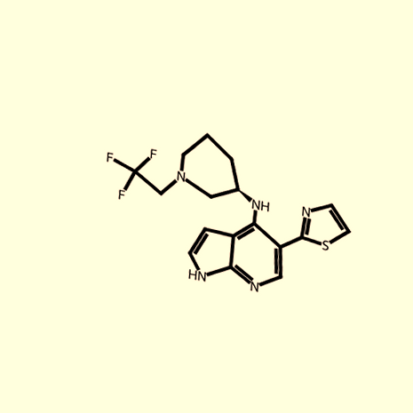 FC(F)(F)CN1CCC[C@@H](Nc2c(-c3nccs3)cnc3[nH]ccc23)C1